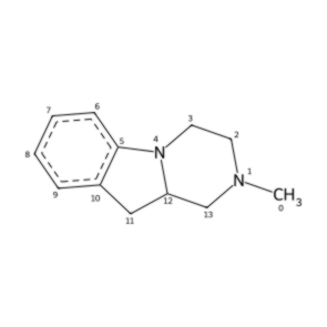 CN1CCN2c3ccccc3CC2C1